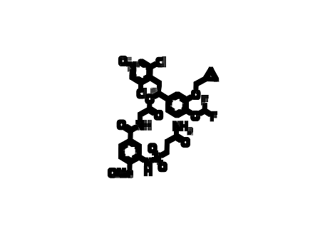 COc1ccc(C(=O)NCC(=O)O[C@@H](Cc2c(Cl)c[n+]([O-])cc2Cl)c2ccc(OC(F)F)c(OCC3CC3)c2)cc1NS(=O)(=O)CCC(N)=O